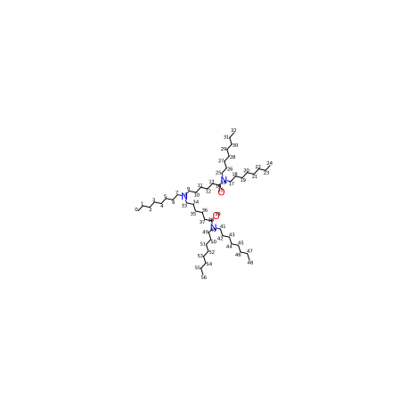 CCCCCCCCN(CCCCCC(=O)N(CCCCCCCC)CCCCCCCC)CCCCCC(=O)N(CCCCCCCC)CCCCCCCC